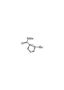 CCC(C)c1cccc(C(=O)NC)c1